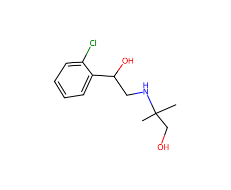 CC(C)(CO)NCC(O)c1ccccc1Cl